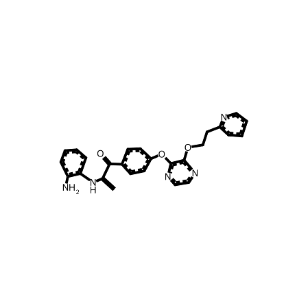 C=C(Nc1ccccc1N)C(=O)c1ccc(Oc2nccnc2OCCc2ccccn2)cc1